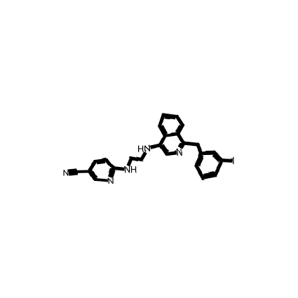 N#Cc1ccc(NCCNc2cnc(Cc3cccc(I)c3)c3ccccc23)nc1